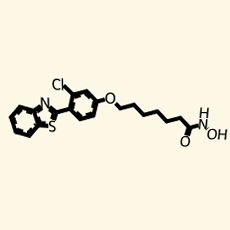 O=C(CCCCCCOc1ccc(-c2nc3ccccc3s2)c(Cl)c1)NO